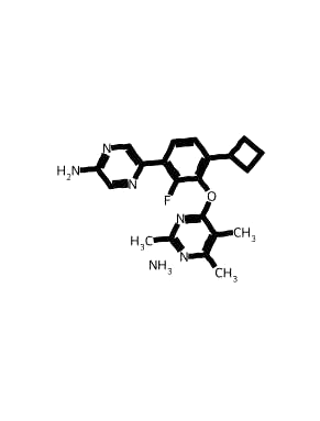 Cc1nc(C)c(C)c(Oc2c(C3CCC3)ccc(-c3cnc(N)cn3)c2F)n1.N